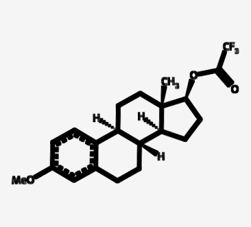 COc1ccc2c(c1)CC[C@@H]1[C@@H]2CC[C@]2(C)[C@@H](OC(=O)C(F)(F)F)CC[C@@H]12